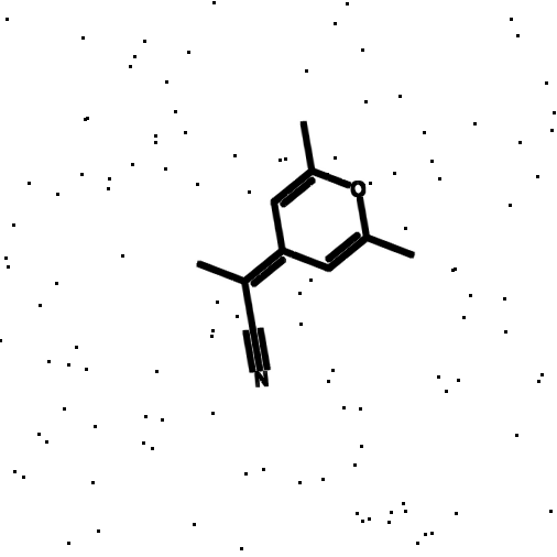 CC1=CC(=C(C)C#N)C=C(C)O1